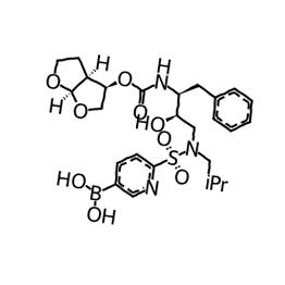 CC(C)CN(C[C@@H](O)[C@H](Cc1ccccc1)NC(=O)O[C@H]1CO[C@H]2OCC[C@H]21)S(=O)(=O)c1ccc(B(O)O)cn1